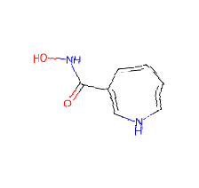 O=C(NO)C1=CNC=CC=C1